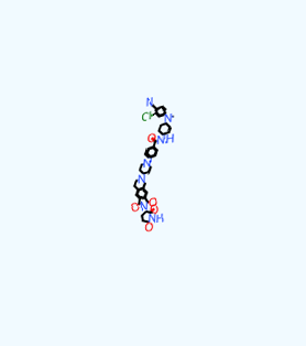 CN(c1ccc(C#N)c(Cl)c1)[C@H]1CC[C@H](NC(=O)c2ccc(N3CCC(N4CCc5cc6c(cc5C4)C(=O)N(C4CCC(=O)NC4=O)C6=O)CC3)cc2)CC1